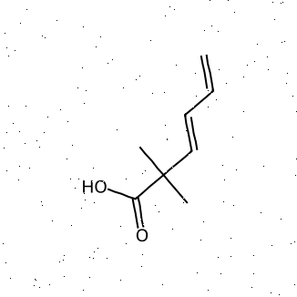 C=CC=CC(C)(C)C(=O)O